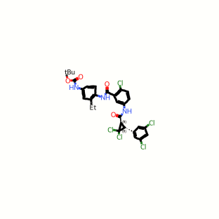 CCc1cc(NC(=O)OC(C)(C)C)ccc1NC(=O)c1cc(NC(=O)[C@H]2[C@H](c3cc(Cl)cc(Cl)c3)C2(Cl)Cl)ccc1Cl